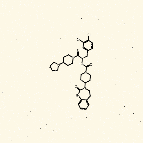 O=C(O[C@H](Cc1ccc(Cl)c(Cl)c1)C(=O)N1CCC(N2CCCC2)CC1)N1CCC(N2CCc3ccccc3NC2=O)CC1